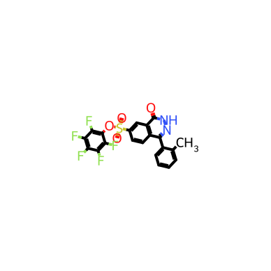 Cc1ccccc1-c1n[nH]c(=O)c2cc(S(=O)(=O)Oc3c(F)c(F)c(F)c(F)c3F)ccc12